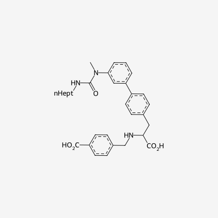 CCCCCCCNC(=O)N(C)c1cccc(-c2ccc(CC(NCc3ccc(C(=O)O)cc3)C(=O)O)cc2)c1